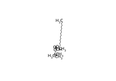 CCCCCCCCCCCCCCCCC(C)OP(=O)(O)OCC[N+](C)(C)C